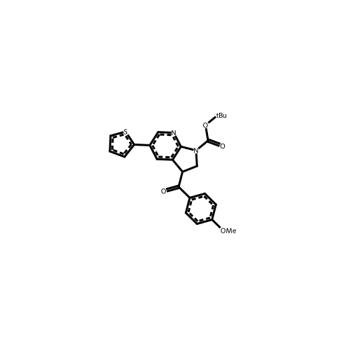 COc1ccc(C(=O)C2CN(C(=O)OC(C)(C)C)c3ncc(-c4cccs4)cc32)cc1